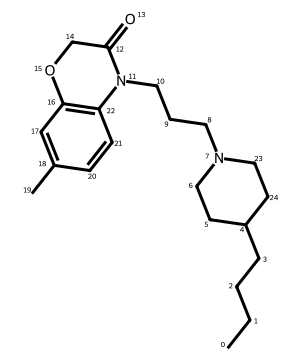 CCCCC1CCN(CCCN2C(=O)COc3cc(C)ccc32)CC1